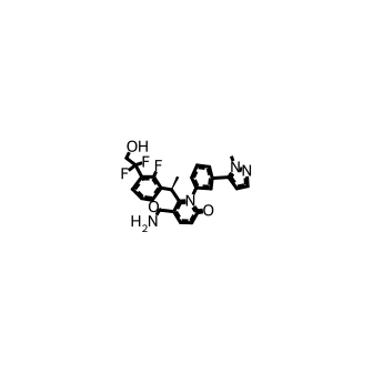 C[C@H](c1cccc(C(F)(F)CO)c1F)c1c(C(N)=O)ccc(=O)n1-c1cccc(-c2ccnn2C)c1